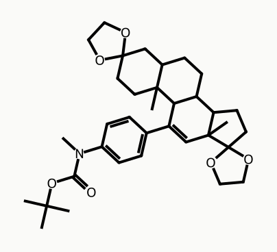 CN(C(=O)OC(C)(C)C)c1ccc(C2=CC3(C)C(CCC34OCCO4)C3CCC4CC5(CCC4(C)C23)OCCO5)cc1